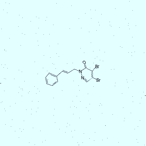 O=c1c(Br)c(Br)cnn1C/C=C/c1ccccc1